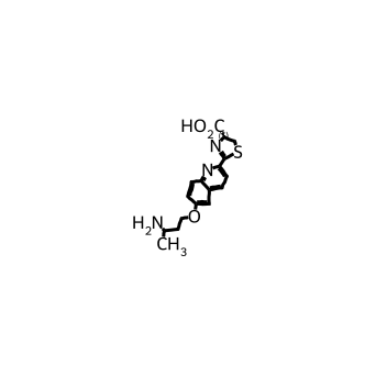 CC(N)CCOc1ccc2nc(C3=N[C@@H](C(=O)O)CS3)ccc2c1